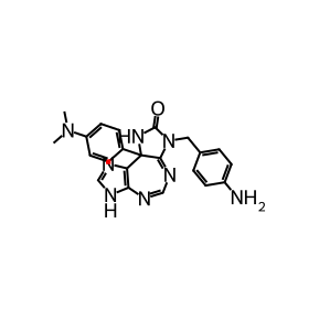 CN(C)c1ccc(C23NC(=O)N(Cc4ccc(N)cc4)C2=NC=Nc2[nH]cnc23)cc1